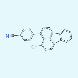 N#Cc1ccc(-c2ccc3c4c(ccc(Cl)c24)-c2ccccc2-3)cc1